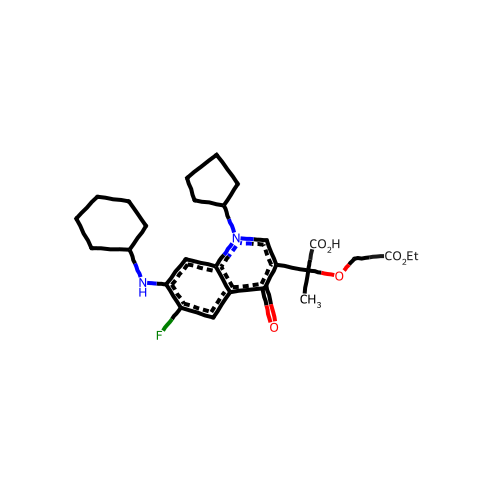 CCOC(=O)COC(C)(C(=O)O)c1cn(C2CCCC2)c2cc(NC3CCCCC3)c(F)cc2c1=O